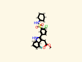 COC(=O)Cc1c(-c2ccc(Cl)c(S(=O)(=O)NC3CCCCC3)c2)[nH]c2cccc(F)c12